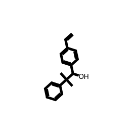 C=Cc1ccc(C(O)C(C)(C)c2ccccc2)cc1